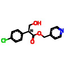 O=C(OCc1ccncc1)[C@H](CO)c1ccc(Cl)cc1